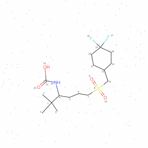 CC(C)(C)C(CCCS(=O)(=O)CC1CCC(F)(F)CC1)NC(=O)O